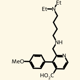 CCN(CC)CCCCNCc1nccc(C(=O)O)c1-c1ccc(OC)cc1